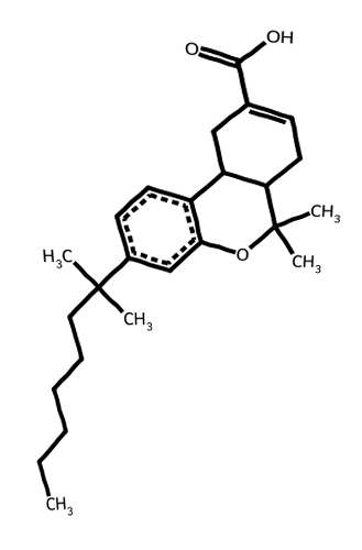 CCCCCCC(C)(C)c1ccc2c(c1)OC(C)(C)C1CC=C(C(=O)O)CC21